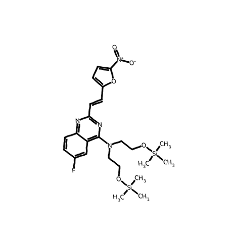 C[Si](C)(C)OCCN(CCO[Si](C)(C)C)c1nc(/C=C/c2ccc([N+](=O)[O-])o2)nc2ccc(F)cc12